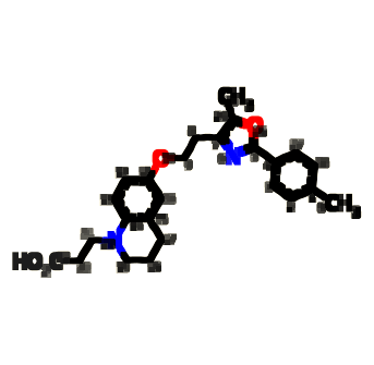 Cc1ccc(-c2nc(CCOc3ccc4c(c3)CCCN4CCC(=O)O)c(C)o2)cc1